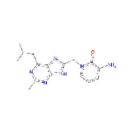 Cc1nc(CC(C)C)c2nc(Cn3cccc(N)c3=O)[nH]c2n1